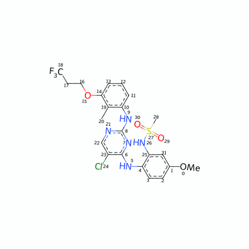 COc1ccc(Nc2nc(Nc3cccc(OCCC(F)(F)F)c3C)ncc2Cl)c(NS(C)(=O)=O)c1